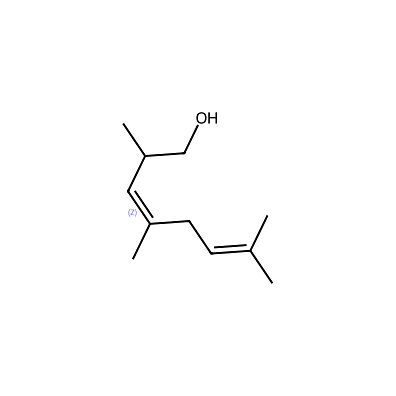 CC(C)=CC/C(C)=C\C(C)CO